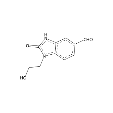 O=Cc1ccc2c(c1)[nH]c(=O)n2CCO